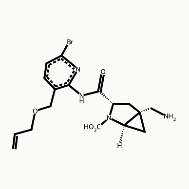 C=CCOCc1ccc(Br)nc1NC(=O)[C@@H]1C[C@@]2(CN)C[C@H]2N1C(=O)O